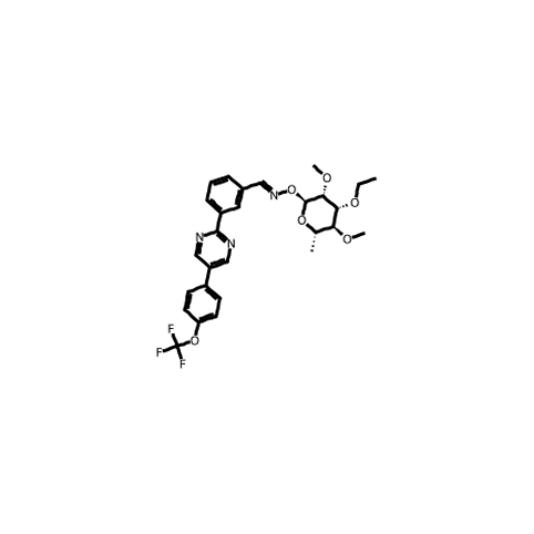 CCO[C@@H]1[C@@H](OC)[C@H](C)O[C@@H](O/N=C/c2cccc(-c3ncc(-c4ccc(OC(F)(F)F)cc4)cn3)c2)[C@@H]1OC